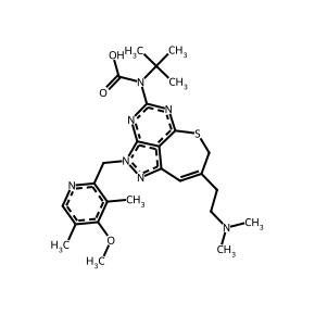 COc1c(C)cnc(Cn2nc3c4c(nc(N(C(=O)O)C(C)(C)C)nc42)SCC(CCN(C)C)=C3)c1C